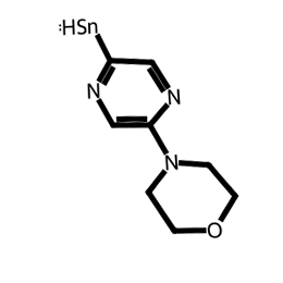 [SnH][c]1cnc(N2CCOCC2)cn1